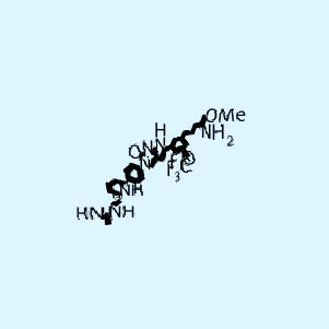 COC[C@H](N)CCCc1cc(OC(F)(F)F)c(F)c(-c2cc3cn(-c4ccc([C@@H]5CCC[C@@H](CCNC(C)=N)N5)c(F)c4)c(=O)nc3[nH]2)c1